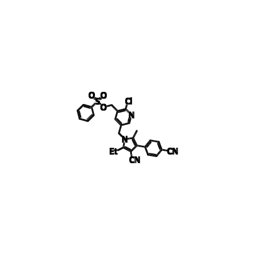 CCc1c(C#N)c(-c2ccc(C#N)cc2)c(C)n1Cc1cnc(Cl)c(COS(=O)(=O)c2ccccc2)c1